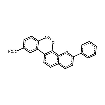 O=C(O)c1ccc([N+](=O)[O-])c(-c2ccc3ccc(-c4ccccc4)nc3c2Cl)c1